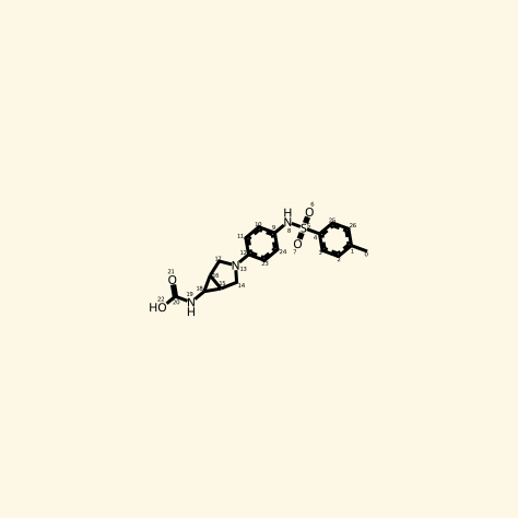 Cc1ccc(S(=O)(=O)Nc2ccc(N3CC4C(C3)C4NC(=O)O)cc2)cc1